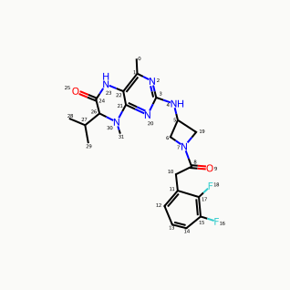 Cc1nc(NC2CN(C(=O)Cc3cccc(F)c3F)C2)nc2c1NC(=O)C(C(C)C)N2C